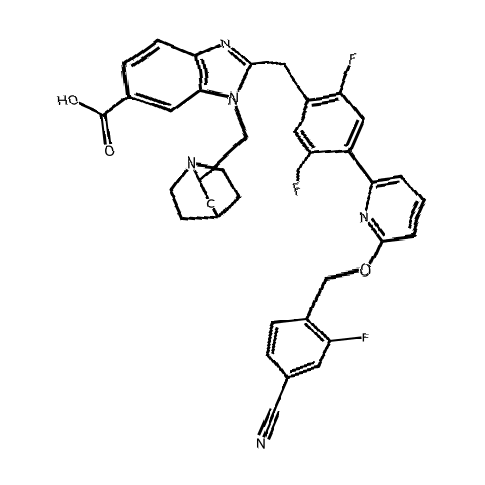 N#Cc1ccc(COc2cccc(-c3cc(F)c(Cc4nc5ccc(C(=O)O)cc5n4CC4CC5CCN4CC5)cc3F)n2)c(F)c1